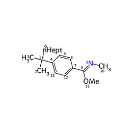 CCCCCCCC(C)(C)c1ccc(/C(=N/C)OC)cc1